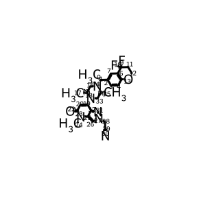 CC(c1ccc2c(c1)C(F)(F)CCO2)N1C[C@H](C)N(c2cc(=O)n(C)c3cn(CC#N)nc23)C[C@H]1C